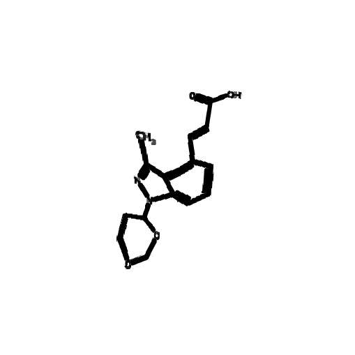 Cc1nn(C2CCOCO2)c2cccc(/C=C/C(=O)O)c12